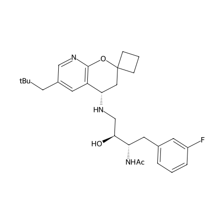 CC(=O)N[C@@H](Cc1cccc(F)c1)[C@@H](O)CN[C@H]1CC2(CCC2)Oc2ncc(CC(C)(C)C)cc21